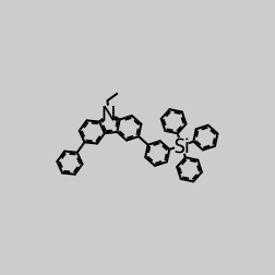 CCn1c2ccc(-c3ccccc3)cc2c2cc(-c3cccc([Si](c4ccccc4)(c4ccccc4)c4ccccc4)c3)ccc21